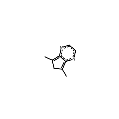 CC1=c2nccnc2=C(C)C1